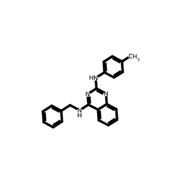 Cc1ccc(Nc2nc(NCc3ccccc3)c3ccccc3n2)cc1